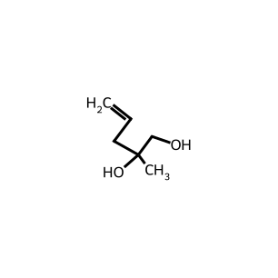 C=CCC(C)(O)CO